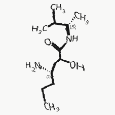 CCC[C@H](N)C(O)C(=O)N[C@@H](C)C(C)C